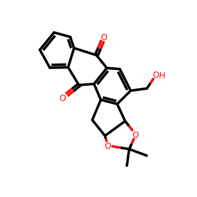 CC1(C)OC2Cc3c4c(cc(CO)c3C2O1)C(=O)c1ccccc1C4=O